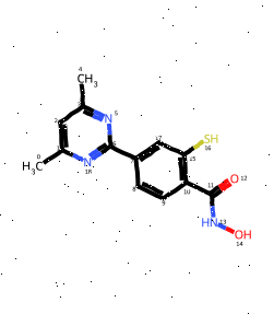 Cc1cc(C)nc(-c2ccc(C(=O)NO)c(S)c2)n1